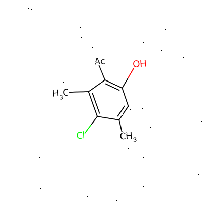 CC(=O)c1c(O)cc(C)c(Cl)c1C